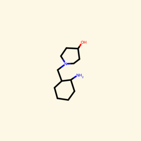 NC1CCCCC1CN1CCC(O)CC1